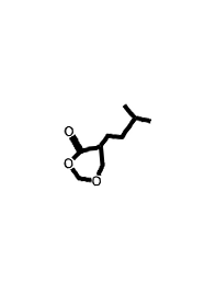 CC(C)CCC1COCOC1=O